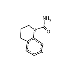 NC(=O)N1CCCc2cc[c]cc21